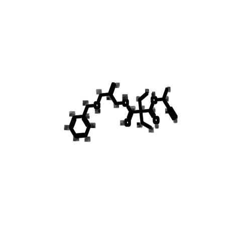 C#CC(C)OC(=O)C(CC)(CC)C(=O)OCC(=C)COCc1ccccc1